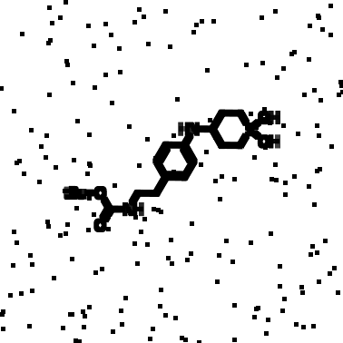 CC(C)(C)OC(=O)NCCc1ccc(NC2CCS(O)(O)CC2)cc1